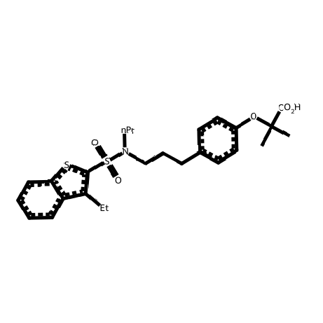 CCCN(CCCc1ccc(OC(C)(C)C(=O)O)cc1)S(=O)(=O)c1sc2ccccc2c1CC